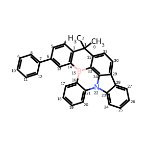 CC1(C)c2ccc(-c3ccccc3)cc2B2c3ccccc3-n3c4ccccc4c4ccc1c2c43